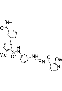 COc1ccc(-c2cccc(C(=O)N(C)C)c2)cc1[S+]([O-])Nc1cccc(NCCNC(=O)c2cccnc2OC)c1